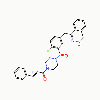 O=C(/C=C/c1ccccc1)N1CCN(C(=O)c2cc(CC3=NNCc4ccccc43)ccc2F)CC1